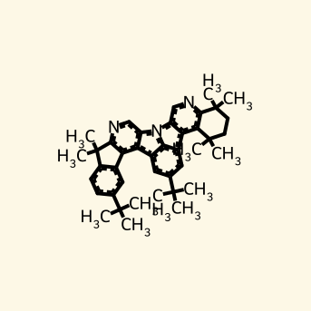 CC(C)(C)c1ccc2c(c1)-c1c(ncc3c1c1cc(C(C)(C)C)cc4c5c6c(ncc5n3c14)C(C)(C)CCC6(C)C)C2(C)C